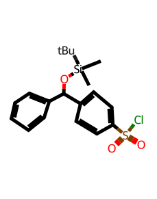 CC(C)(C)[Si](C)(C)OC(c1ccccc1)c1ccc(S(=O)(=O)Cl)cc1